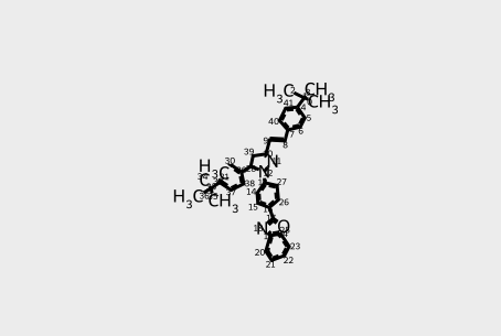 CC(C)(C)c1ccc(C=CC2=NN(c3ccc(-c4nc5ccccc5o4)cc3)C(c3ccc(C(C)(C)C)cc3)C2)cc1